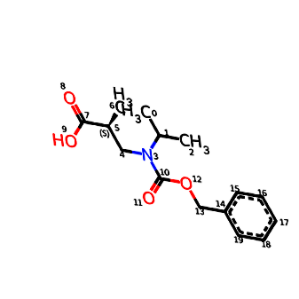 CC(C)N(C[C@H](C)C(=O)O)C(=O)OCc1ccccc1